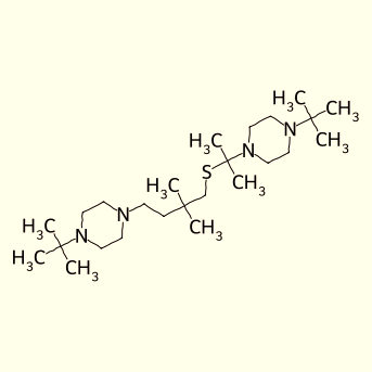 CC(C)(CCN1CCN(C(C)(C)C)CC1)CSC(C)(C)N1CCN(C(C)(C)C)CC1